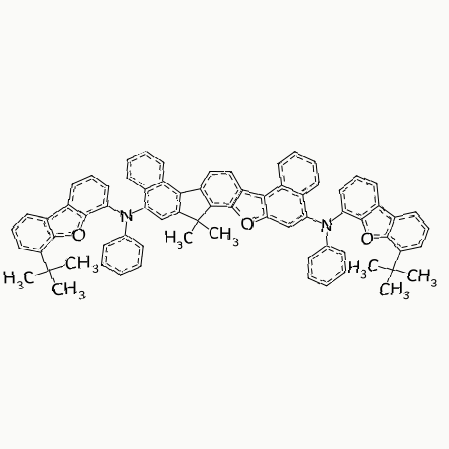 CC(C)(C)c1cccc2c1oc1c(N(c3ccccc3)c3cc4c(c5ccccc35)-c3ccc5c(oc6cc(N(c7ccccc7)c7cccc8c7oc7c(C(C)(C)C)cccc78)c7ccccc7c65)c3C4(C)C)cccc12